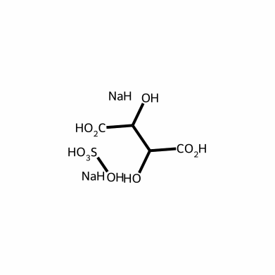 O=C(O)C(O)C(O)C(=O)O.O=S(=O)(O)O.[NaH].[NaH]